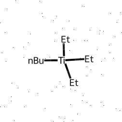 CCC[CH2][Ti]([CH2]C)([CH2]C)[CH2]C